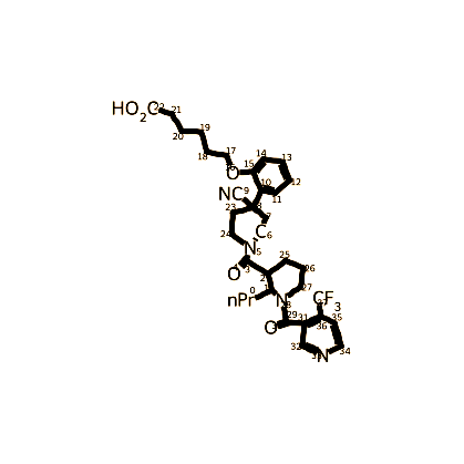 CCCC1C(C(=O)N2CCC(C#N)(c3ccccc3OCCCCCC(=O)O)CC2)CCCN1C(=O)c1cnccc1C(F)(F)F